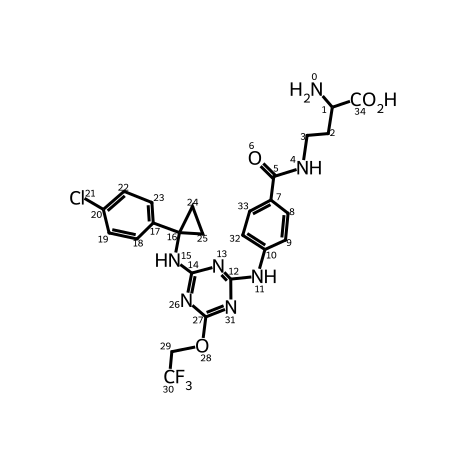 NC(CCNC(=O)c1ccc(Nc2nc(NC3(c4ccc(Cl)cc4)CC3)nc(OCC(F)(F)F)n2)cc1)C(=O)O